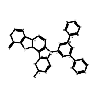 C=C1CC=CC2=C1OC1c3c4c(n(-c5cc(-c6ccccc6)cc(-c6ccccc6)c5)c3C=CC21)C=CC(C)C4